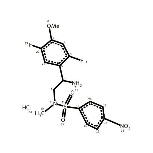 COc1cc(F)c(C(N)CN(C)S(=O)(=O)c2ccc([N+](=O)[O-])cc2)cc1F.Cl